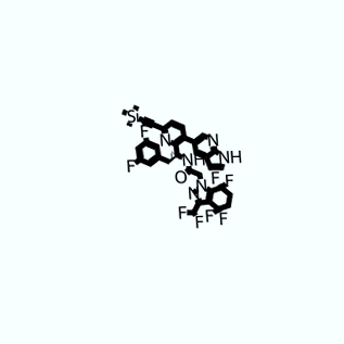 C[Si](C)(C)C#Cc1ccc(-c2cnc3[nH]ccc3c2)c([C@H](Cc2cc(F)cc(F)c2)NC(=O)Cn2nc(C(F)F)c3c2C(F)(F)CCC3(F)F)n1